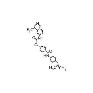 CN(C)Cc1ccc(NC(=O)c2ccc(C3C[C@H]3C(=O)Nc3ccc4cncc(C(F)(F)F)c4c3)cc2)cc1